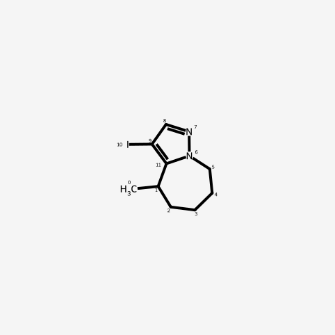 CC1CCCCn2ncc(I)c21